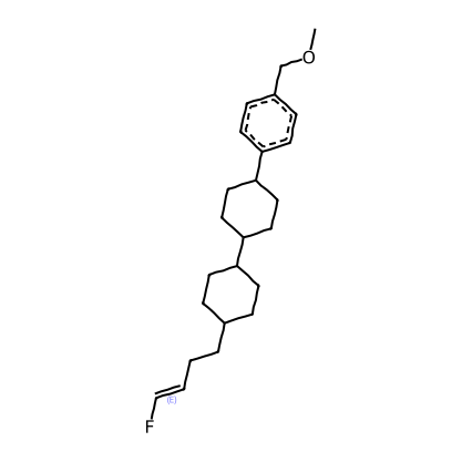 COCc1ccc(C2CCC(C3CCC(CC/C=C/F)CC3)CC2)cc1